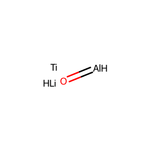 [LiH].[O]=[AlH].[Ti]